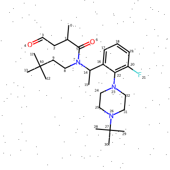 CC(CC=O)C(=O)N(CCC(C)(C)C)C(C)c1cccc(F)c1N1CCN(C(C)(C)C)CC1